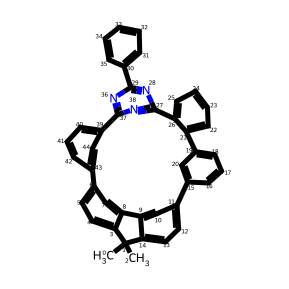 CC1(C)c2ccc3cc2-c2cc(ccc21)-c1cccc(c1)-c1ccccc1-c1nc(-c2ccccc2)nc(n1)-c1cccc-3c1